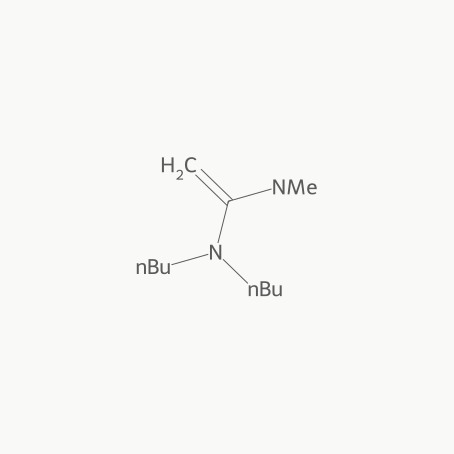 C=C(NC)N(CCCC)CCCC